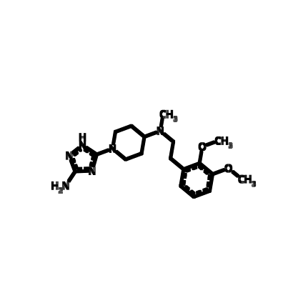 COc1cccc(CCN(C)C2CCN(c3nc(N)n[nH]3)CC2)c1OC